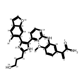 C=C(C(N)=O)c1ccc(OC)c(Nc2nccc(-c3[nH]c(CCCO)nc3-c3cc4occc4cc3F)n2)c1